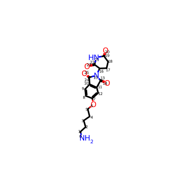 NCCCCCOc1ccc2c(c1)C(=O)N(C1CCC(=O)NC1=O)C2=O